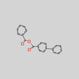 O=C(OC(=O)c1ccc(-c2ccccc2)cc1)c1ccccc1